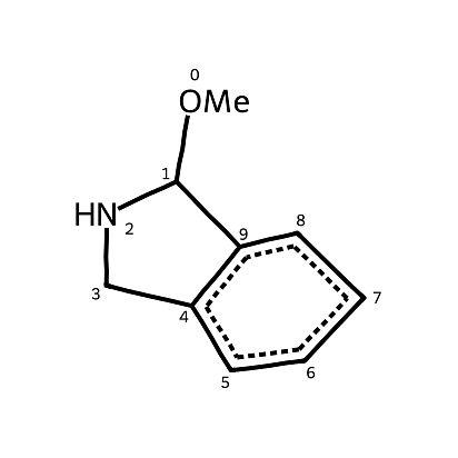 COC1NCc2ccccc21